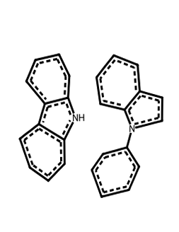 c1ccc(-n2ccc3ccccc32)cc1.c1ccc2c(c1)[nH]c1ccccc12